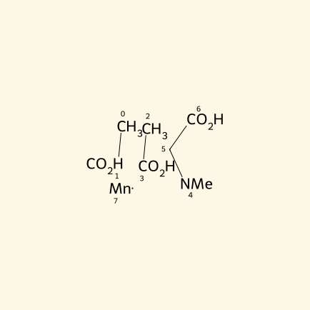 CC(=O)O.CC(=O)O.CNCC(=O)O.[Mn]